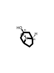 CC(C)N1C2CC[C@@H]1C[C@H](O)C2